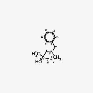 [CH2][C@@](C)(O)CN(C)Cc1ccccc1